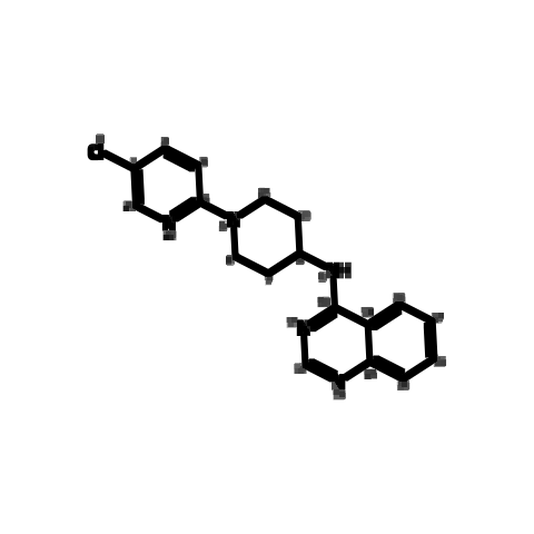 Clc1ccc(N2CCC(Nc3ncnc4ccccc34)CC2)nc1